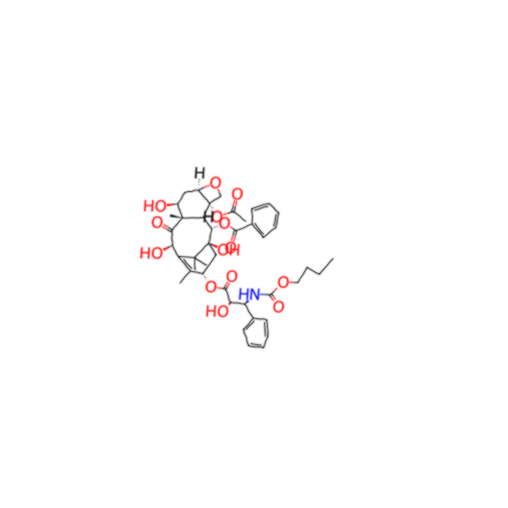 CCCCOC(=O)N[C@@H](c1ccccc1)[C@@H](O)C(=O)O[C@H]1C[C@@]2(O)[C@@H](OC(=O)c3ccccc3)[C@@H]3[C@]4(OC(C)=O)CO[C@@H]4C[C@H](O)[C@@]3(C)C(=O)[C@H](O)C(=C1C)C2(C)C